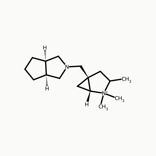 CC1C[C@@]2(CN3C[C@H]4CCC[C@H]4C3)C[C@H]2[N+]1(C)C